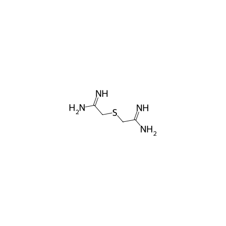 N=C(N)CSCC(=N)N